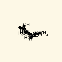 COCCOC(=O)N(C)S(=O)(=O)c1ccc(N2CC[C@H](O)C2)c(-c2cc3cc(C4CCC4C(=O)N(C)S(=O)(=O)c4ccc(N5CC[C@H](O)C5)c(-c5cc6ccccc6[nH]5)c4)ccc3[nH]2)c1